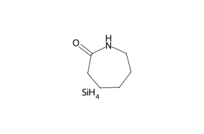 O=C1CCCCCN1.[SiH4]